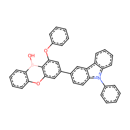 OB1c2ccccc2Oc2cc(-c3ccc4c(c3)c3ccccc3n4-c3ccccc3)cc(Oc3ccccc3)c21